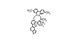 C=C1CC2C(CCc3ccc4c(oc5c6ccsc6ccc45)c3/C(=C/C)N1C)c1cc(C)ccc1-c1ccc(C)c[n+]12